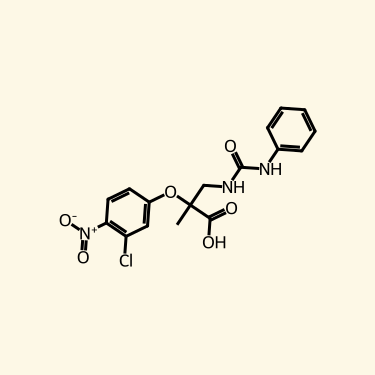 CC(CNC(=O)Nc1ccccc1)(Oc1ccc([N+](=O)[O-])c(Cl)c1)C(=O)O